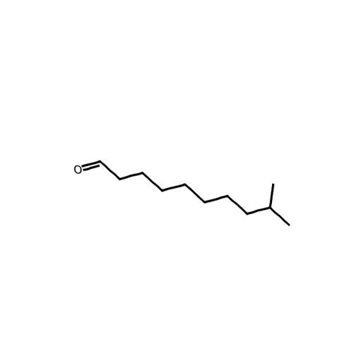 CC(C)CCCCCCCC=O